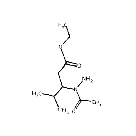 CCOC(=O)CC(C(C)C)N(N)C(C)=O